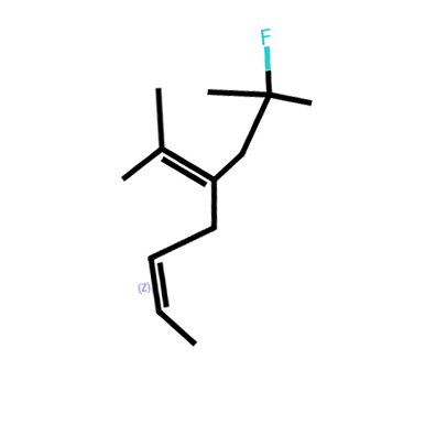 C/C=C\CC(CC(C)(C)F)=C(C)C